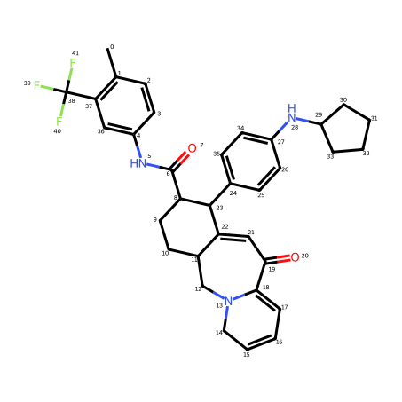 Cc1ccc(NC(=O)C2CCC3CN4CC=CC=C4C(=O)C=C3C2c2ccc(NC3CCCC3)cc2)cc1C(F)(F)F